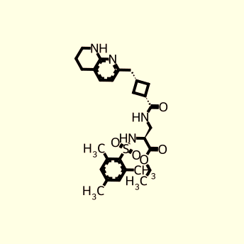 CCOC(=O)[C@H](CNC(=O)[C@H]1C[C@@H](Cc2ccc3c(n2)NCCC3)C1)NS(=O)(=O)c1c(C)cc(C)cc1C